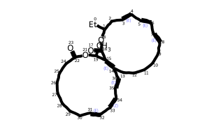 CCC1C/C=C/C=C/C=C/CCCCCC2=C(\C(=O)O1)C(C)OC(=O)CCCCCCC/C=C/C=C\C=C\2